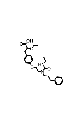 CCNC(=O)N(CCCc1ccccc1)CCOc1ccc(CC(OCC)C(=O)O)cc1